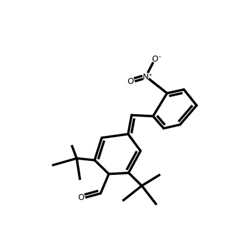 CC(C)(C)C1=CC(=Cc2ccccc2[N+](=O)[O-])C=C(C(C)(C)C)C1C=O